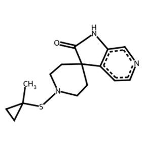 CC1(SN2CCC3(CC2)C(=O)Nc2cnccc23)CC1